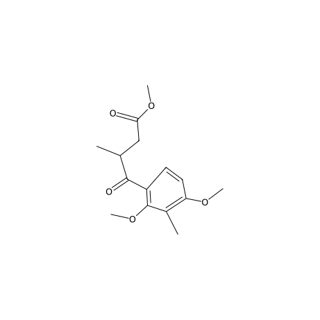 COC(=O)CC(C)C(=O)c1ccc(OC)c(C)c1OC